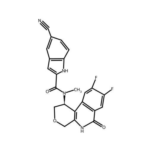 CN(C(=O)c1cc2cc(C#N)ccc2[nH]1)[C@@H]1COCc2[nH]c(=O)c3cc(F)c(F)cc3c21